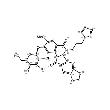 COc1cc2c(cc1O[C@@H]1O[C@H](CO)[C@H](O)[C@H](O)[C@H]1O)C1C(=O)c3cc4c(cc3C1N(CCCn1ccnc1)C2=O)OCO4